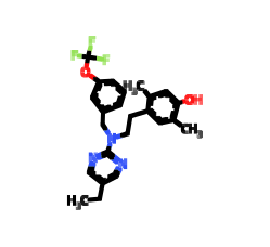 CCc1cnc(N(CCc2cc(C)c(O)cc2C)Cc2cccc(OC(F)(F)F)c2)nc1